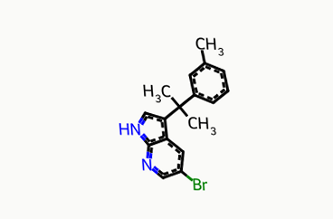 Cc1cccc(C(C)(C)c2c[nH]c3ncc(Br)cc23)c1